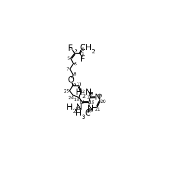 C=C(F)/C(F)=C\CCCOC1C=CC(/C(N)=C2\C(N)=NC=CN2C)CC1